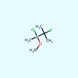 CC(C)(F)[Si](C)(Cl)O[SiH3]